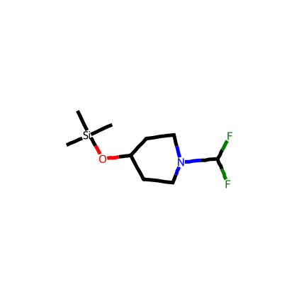 C[Si](C)(C)OC1CCN(C(F)F)CC1